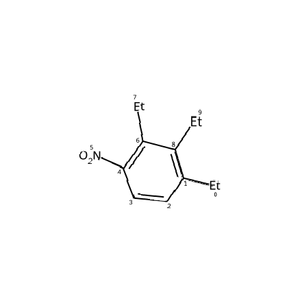 CCc1ccc([N+](=O)[O-])c(CC)c1CC